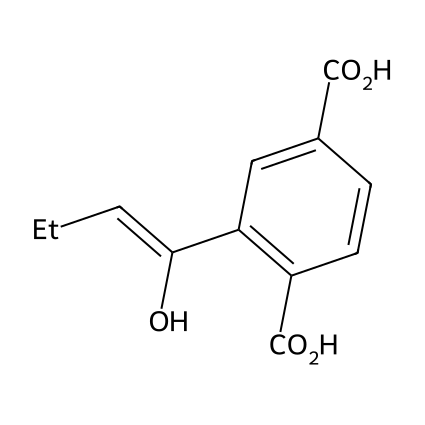 CCC=C(O)c1cc(C(=O)O)ccc1C(=O)O